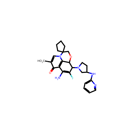 NC1=C(F)C(N2CCC(Nc3ccccn3)C2)C2OCC3(CCCC3)n3cc(C(=O)O)c(=O)c1c32